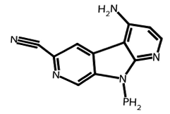 N#Cc1cc2c3c(N)ccnc3n(P)c2cn1